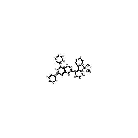 CC1(C)c2ccccc2-c2c(-c3ccc4c(-c5ccccc5)nc(-c5ccccc5)nc4c3)cccc21